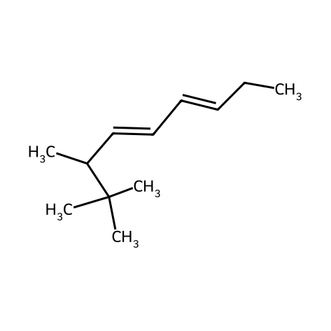 CC/C=C/C=C/C(C)C(C)(C)C